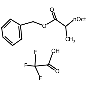 CCCCCCCCC(C)C(=O)OCc1ccccc1.O=C(O)C(F)(F)F